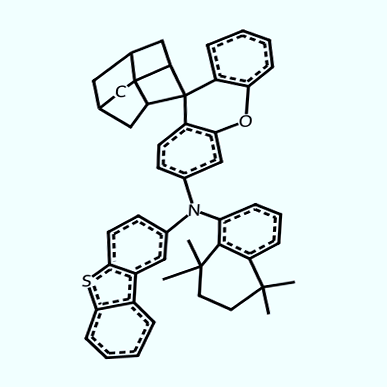 CC1(C)CCC(C)(C)c2c(N(c3ccc4c(c3)Oc3ccccc3C43C4CC5CC6CC3C64C5)c3ccc4sc5ccccc5c4c3)cccc21